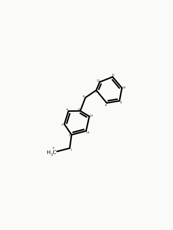 CCc1ccc(Cc2[c]cccc2)cc1